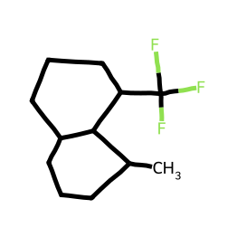 CC1CCCC2CCCC(C(F)(F)F)C12